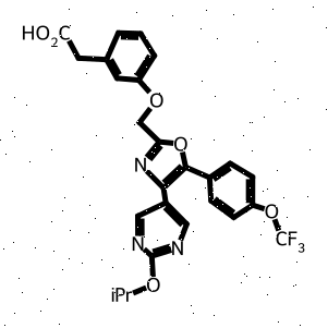 CC(C)Oc1ncc(-c2nc(COc3cccc(CC(=O)O)c3)oc2-c2ccc(OC(F)(F)F)cc2)cn1